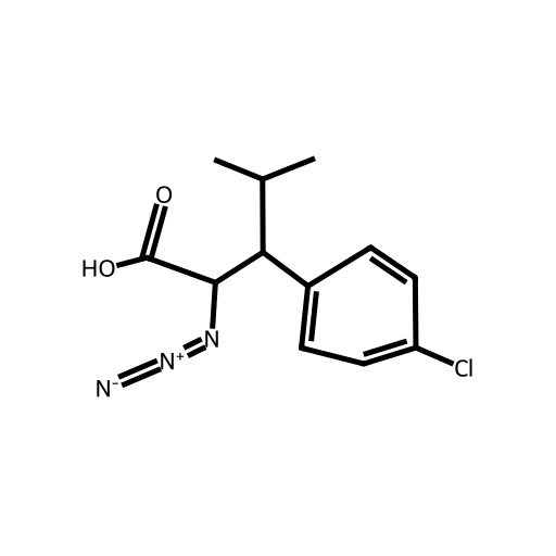 CC(C)C(c1ccc(Cl)cc1)C(N=[N+]=[N-])C(=O)O